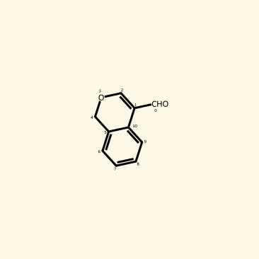 O=CC1=COCc2ccccc21